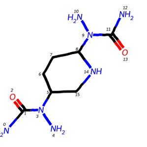 NC(=O)N(N)C1CCC(N(N)C(N)=O)NC1